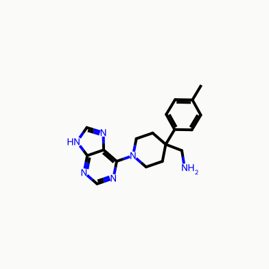 Cc1ccc(C2(CN)CCN(c3ncnc4[nH]cnc34)CC2)cc1